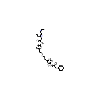 C=C/C(=C\C=C/C)CC(=O)N(C)c1nnc(CCSCCc2nnc(NC(=O)CC3=CCCC=C3)s2)s1